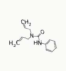 C=CCN(CC=C)C(=O)Nc1ccccc1